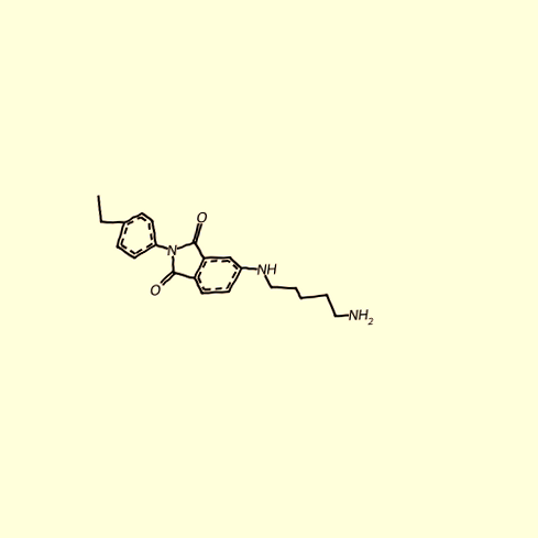 CCc1ccc(N2C(=O)c3ccc(NCCCCCN)cc3C2=O)cc1